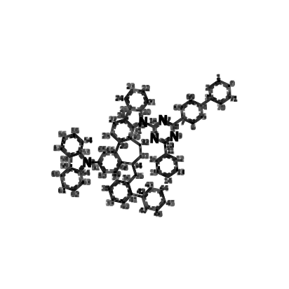 c1ccc(-c2ccc(-c3nc(-c4ccccc4)nc(-n4c5ccccc5c5ccc6c(c54)CCC(Cc4ccccc4-c4ccccc4)c4ccc(-n5c7ccccc7c7ccccc75)cc4-6)n3)cc2)cc1